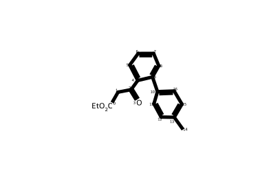 CCOC(=O)CC(=O)c1ccccc1-c1ccc(C)cc1